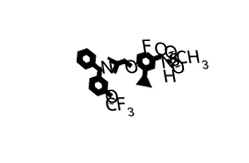 CS(=O)(=O)NC(=O)c1cc(C2CC2)c(OCC2CN(C(c3ccccc3)c3cccc(OC(F)(F)F)c3)C2)cc1F